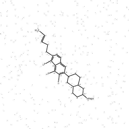 CC=CCCc1ccc2cc(C3CCC4CC(CCCCCCC)CCC4C3)c(F)c(F)c2c1F